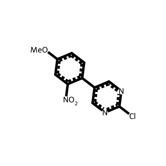 COc1ccc(-c2cnc(Cl)nc2)c([N+](=O)[O-])c1